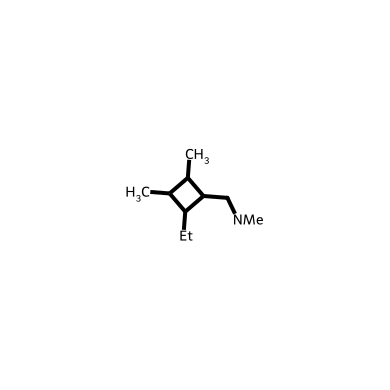 CCC1C(C)C(C)C1CNC